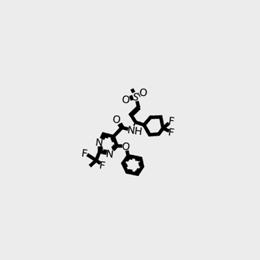 CC(F)(F)c1ncc(C(=O)N[C@H](/C=C/S(C)(=O)=O)C2CCC(F)(F)CC2)c(Oc2ccccc2)n1